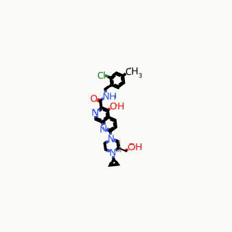 Cc1ccc(CNC(=O)c2ncc3nc(N4CCN(C5CC5)[C@H](CO)C4)ccc3c2O)c(Cl)c1